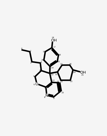 CCCCC1COc2ncc#cc2C1(C1=CC=C(O)CC1)C1CCC(O)CC1